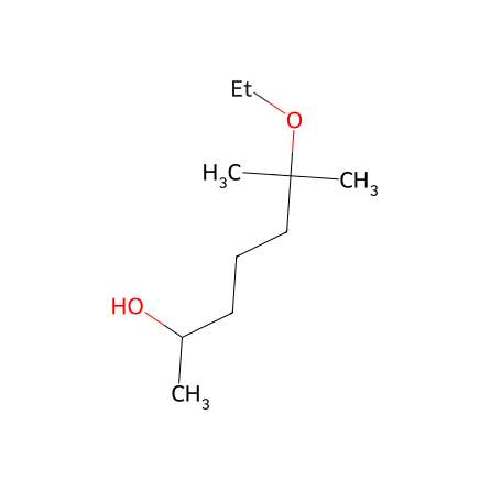 CCOC(C)(C)CCCC(C)O